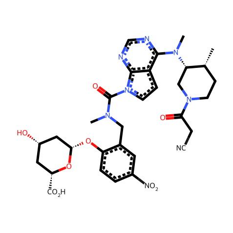 C[C@@H]1CCN(C(=O)CC#N)C[C@@H]1N(C)c1ncnc2c1ccn2C(=O)N(C)Cc1cc([N+](=O)[O-])ccc1O[C@H]1C[C@@H](O)C[C@@H](C(=O)O)O1